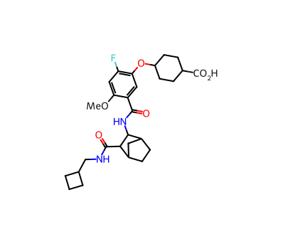 COc1cc(F)c(OC2CCC(C(=O)O)CC2)cc1C(=O)NC1C2CCC(C2)C1C(=O)NCC1CCC1